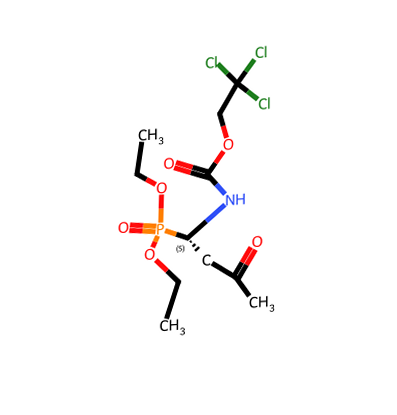 CCOP(=O)(OCC)[C@@H](CC(C)=O)NC(=O)OCC(Cl)(Cl)Cl